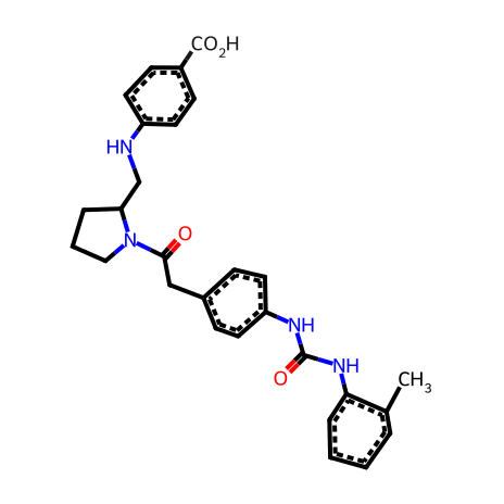 Cc1ccccc1NC(=O)Nc1ccc(CC(=O)N2CCCC2CNc2ccc(C(=O)O)cc2)cc1